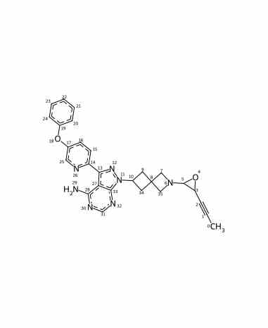 CC#CC1OC1N1CC2(CC(n3nc(-c4ccc(Oc5ccccc5)cn4)c4c(N)ncnc43)C2)C1